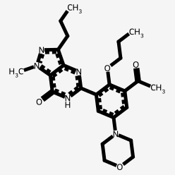 CCCOc1c(C(C)=O)cc(N2CCOCC2)cc1-c1nc2c(CCC)nn(C)c2c(=O)[nH]1